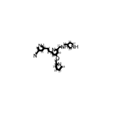 N#Cc1cncc(/C=C/c2cc(OCc3ccccn3)cc(CNCC3CCNC3)n2)c1